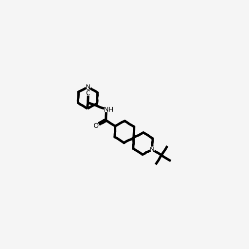 CC(C)(C)N1CCC2(CCC(C(=O)NC3CN4CCC3CC4)CC2)CC1